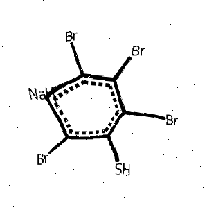 Sc1c(Br)cc(Br)c(Br)c1Br.[NaH]